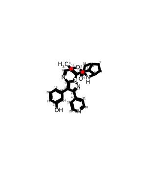 CCOC(=O)C1C2CCC1NC(c1ccnc3c(-c4cccc(O)c4)c(-c4ccncc4)nn13)C2